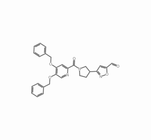 O=Cc1cc(C2CCN(C(=O)c3cc(OCc4ccccc4)c(OCc4ccccc4)cn3)C2)no1